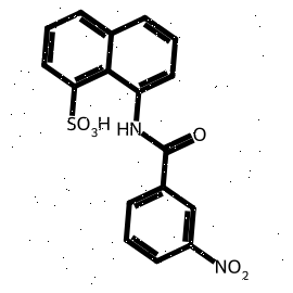 O=C(Nc1cccc2cccc(S(=O)(=O)O)c12)c1cccc([N+](=O)[O-])c1